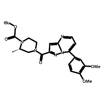 COc1ccc(-c2ccnc3cc(C(=O)N4CCN(C(=O)OC(C)(C)C)[C@@H](C)C4)nn23)cc1OC